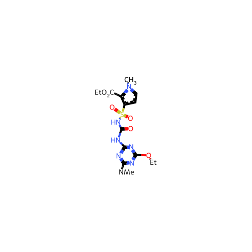 CCOC(=O)c1c(S(=O)(=O)NC(=O)Nc2nc(NC)nc(OCC)n2)ccn1C